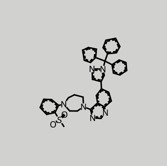 CS(=O)(=O)c1ccccc1N1CCCN(c2ncnc3ccc(-c4cnn(C(c5ccccc5)(c5ccccc5)c5ccccc5)c4)cc23)CC1